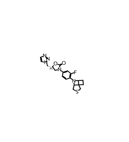 O=C1O[C@@H](Cn2ccnn2)CN1c1ccc(N2C3CCC34CSCC24)c(F)c1